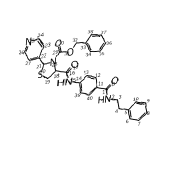 O=C(NCCc1ccccc1)c1ccc(NC(=O)C2CSC(c3ccncc3)N2C(=O)OCc2ccccc2)cc1